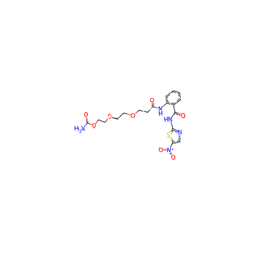 NC(=O)OCCOCCOCCC(=O)Nc1ccccc1C(=O)Nc1ncc([N+](=O)[O-])s1